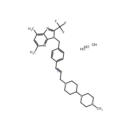 Cc1cc(C)c2nc(C(F)(F)F)n(Cc3ccc(/C=C/CN4CCC(N5CCN(C)CC5)CC4)cc3)c2n1.Cl.Cl.Cl